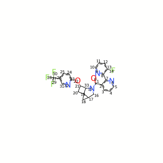 O=C(c1cccnc1-c1ncccc1F)N1CC2CC23CC(Oc2ccc(C(F)(F)F)cn2)C13